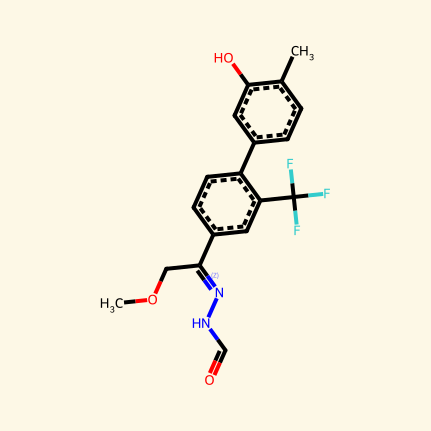 COC/C(=N\NC=O)c1ccc(-c2ccc(C)c(O)c2)c(C(F)(F)F)c1